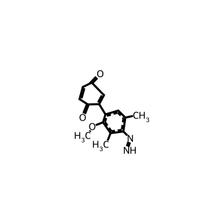 COc1c(C2=CC(=O)C=CC2=O)cc(C)c(N=N)c1C